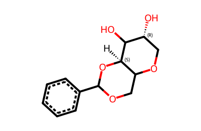 OC1[C@@H]2OC(c3ccccc3)OCC2OC[C@H]1O